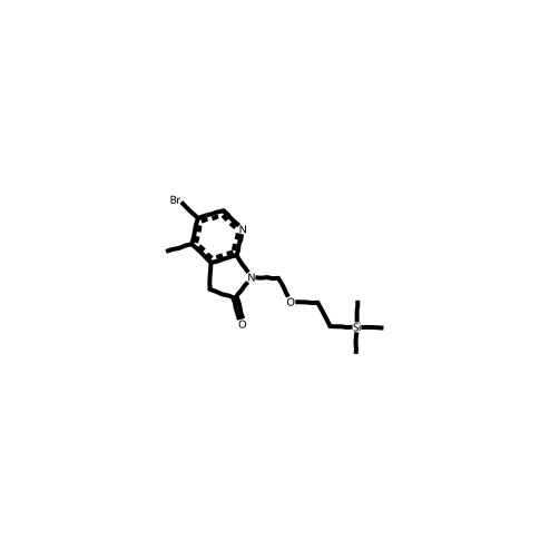 Cc1c(Br)cnc2c1CC(=O)N2COCC[Si](C)(C)C